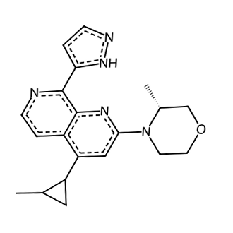 CC1CC1c1cc(N2CCOC[C@H]2C)nc2c(-c3ccn[nH]3)nccc12